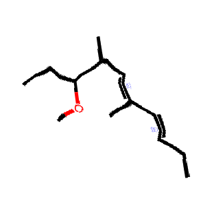 CC/C=C/C(C)=C/C(C)C(CC)OC